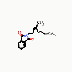 CCCCC(C)CCCN1C(=O)c2ccccc2C1=O